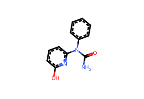 NC(=O)N(c1ccccc1)c1cccc(O)n1